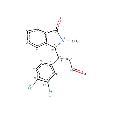 CN1C(=O)c2ccccc2[C@H]1[C@H](CC=O)c1ccc(Cl)c(Cl)c1